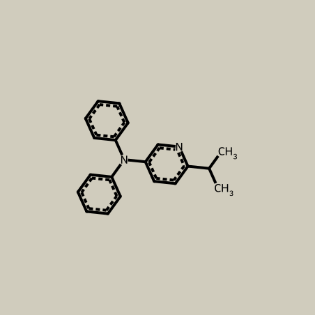 CC(C)c1ccc(N(c2ccccc2)c2ccccc2)cn1